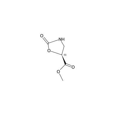 COC(=O)[C@@H]1CNC(=O)O1